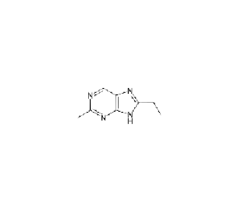 CCc1nc2cnc(C)nc2[nH]1